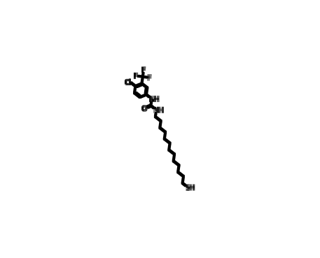 O=C(NCCCCCCCCCCCCCS)Nc1ccc(Cl)c(C(F)(F)F)c1